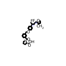 C=c1cco/c1=C(F)/C=C(\CF)c1ccc(OCc2cccc(C(=O)N3CCC[C@H]3C(=O)O)c2)cc1